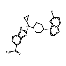 NC(=O)c1ccc2[nH]c([C@H](C3CC3)[C@H]3CC[C@@H](c4ccnc5ccc(F)cc54)CC3)nc2c1